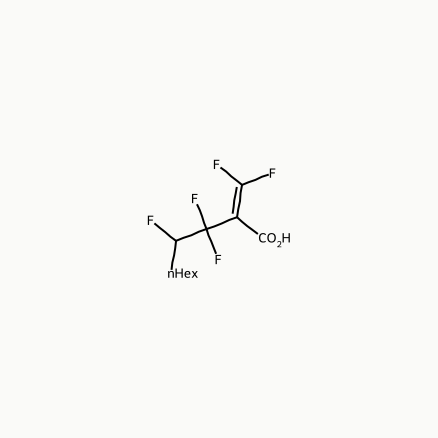 CCCCCCC(F)C(F)(F)C(C(=O)O)=C(F)F